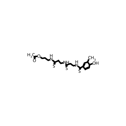 CC(=O)OCCCNC(=S)CCNC(=S)CCNC(=S)C1=CC(C)C(O)C=C1